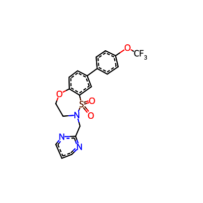 O=S1(=O)c2cc(-c3ccc(OC(F)(F)F)cc3)ccc2OCCN1Cc1ncccn1